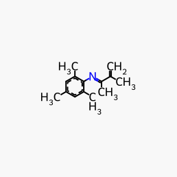 C=C(C)/C(C)=N/c1c(C)cc(C)cc1C